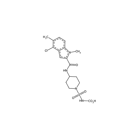 Cc1ccc2c(cc(C(=O)NC3CCN(S(=O)(=O)NC(=O)O)CC3)n2C)c1Cl